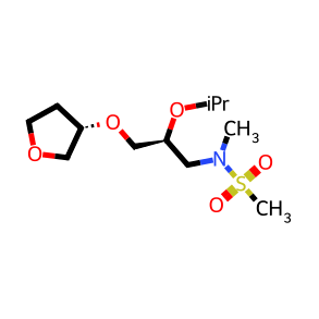 CC(C)O[C@H](CO[C@H]1CCOC1)CN(C)S(C)(=O)=O